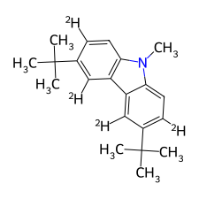 [2H]c1cc2c(c([2H])c1C(C)(C)C)c1c([2H])c(C(C)(C)C)c([2H])cc1n2C